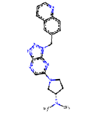 CN(C)[C@H]1CCN(c2cnc3nnn(Cc4ccc5ncccc5c4)c3n2)C1